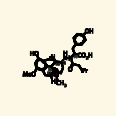 COc1cc(O)c2c3c1C[C@@H]1[C@@H]4CC[C@@H](NN(C(=O)CC(C)C)[C@@H](Cc5ccc(O)cc5)C(=O)O)[C@H](O2)[C@]34CCN1C